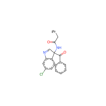 CC(C)CC(=O)NC1(C(=O)c2ccccc2)C=Nc2cc(Cl)ccc21